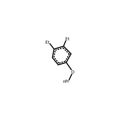 CCCOc1ccc(CC)c(CC)c1